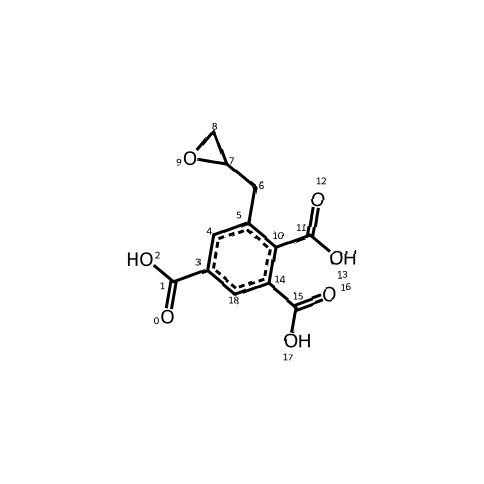 O=C(O)c1cc(CC2CO2)c(C(=O)O)c(C(=O)O)c1